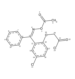 CC(=O)ON=C(c1ccccc1)c1cc(Cl)ccc1OCC(=O)Cl